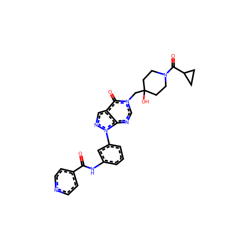 O=C(Nc1cccc(-n2ncc3c(=O)n(CC4(O)CCN(C(=O)C5CC5)CC4)cnc32)c1)c1ccncc1